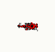 COC(=O)C(Cc1ccc(OCCNC(=O)OC(C)(C)C)cc1)NC(=O)[C@@H](NC(=O)[C@H](CCCCNC(C)=O)NC(=O)[C@H](Cc1c[nH]c2c(C)cccc12)NC(=O)[C@@H](NC(=O)[C@H](CC(N)=O)NC(=O)[C@@H](NC(C)=O)C(C)(C)SC(c1ccccc1)(c1ccccc1)c1ccccc1)C(C)OC(C)(C)C)C(C)(C)SCNC(C)=O